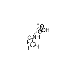 O=C(NCCCC(F)S(=O)(=O)O)c1cc(I)cc(I)c1I